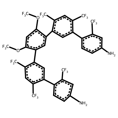 Nc1ccc(-c2cc(-c3cc(-c4cc(-c5ccc(N)cc5C(F)(F)F)c(C(F)(F)F)cc4C(F)(F)F)c(OC(F)(F)F)cc3OC(F)(F)F)c(C(F)(F)F)cc2C(F)(F)F)c(C(F)(F)F)c1